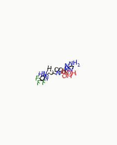 CC(C)N(CCCCc1nc2c(F)c(F)c(F)cc2[nH]1)C[C@H]1O[C@@H](n2cnc3c(N)ccnc32)[C@H](O)[C@@H]1O